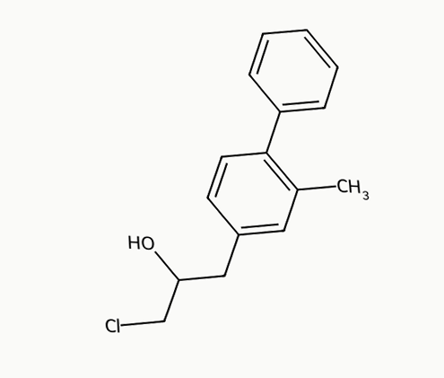 Cc1cc(CC(O)CCl)ccc1-c1ccccc1